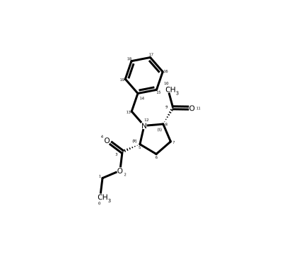 CCOC(=O)[C@H]1CC[C@@H](C(C)=O)N1Cc1ccccc1